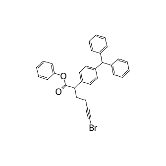 O=C(Oc1ccccc1)C(CCC#CBr)c1ccc(C(c2ccccc2)c2ccccc2)cc1